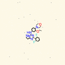 CCOc1cc(Nc2nc(-c3c(F)cccc3F)nc3ccnn23)ccc1N1C[C@@H](C)O[C@@H](C)C1